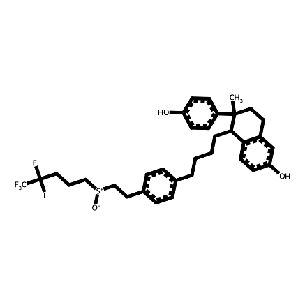 CC1(c2ccc(O)cc2)CCc2cc(O)ccc2C1CCCCc1ccc(CC[S+]([O-])CCCC(F)(F)C(F)(F)F)cc1